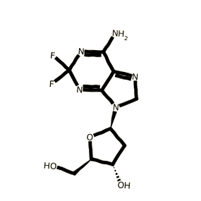 NC1=NC(F)(F)N=C2C1=NCN2[C@H]1C[C@H](O)[C@@H](CO)O1